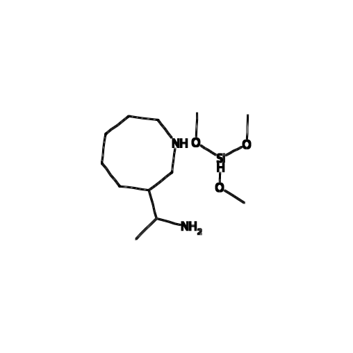 CC(N)C1CCCCCNC1.CO[SiH](OC)OC